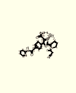 N#CCC(=O)N1CCCC1c1nc(-c2ccc(C(=O)Nc3ccccn3)cc2)c(C(N)=O)n1N